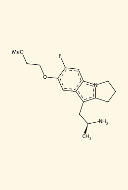 COCCOc1cc2c(C[C@H](C)N)c3n(c2cc1F)CCC3